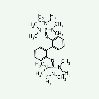 CN(C)P(=Nc1ccccc1-c1ccccc1N=P(N(C)C)(N(C)C)N(C)C)(N(C)C)N(C)C